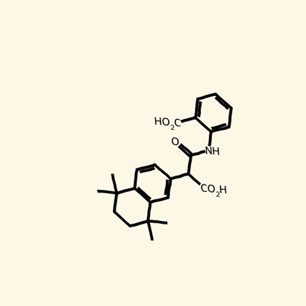 CC1(C)CCC(C)(C)c2cc(C(C(=O)O)C(=O)Nc3ccccc3C(=O)O)ccc21